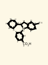 O=C(O)c1cccc(N2c3ccc(F)cc3CC2c2ccccc2)c1